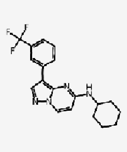 FC(F)(F)c1cccc(-c2cnn3ccc(NC4CCCCC4)nc23)c1